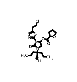 C#CC(CCC)(CCC)N1CC(OC(=O)C2CCCO2)N(c2nnc(CCCl)s2)C1=O